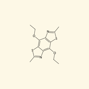 CCOc1c2nc(C)sc2c(OCC)c2nc(C)sc12